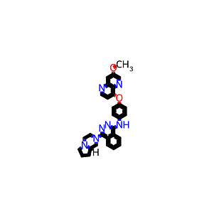 COc1cnc2c(Oc3ccc(Nc4nnc(N5CCN6CCC[C@H]6C5)c5ccccc45)cc3)ccnc2c1